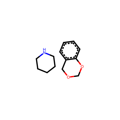 C1CCNCC1.c1ccc2c(c1)COCO2